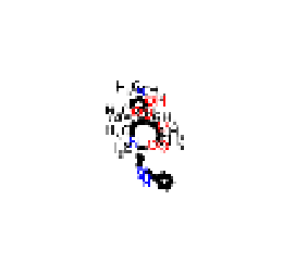 CO[C@]1(C)C[C@@H](C)CN(C)[C@H](/C=C/Cn2cc(-c3ccccc3)nn2)COC(=O)C(C)(C)C(=O)[C@H](C)[C@H]1O[C@@H]1O[C@H](C)C[C@H](N(C)C)[C@H]1O